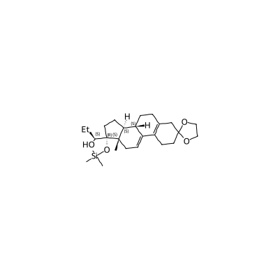 CC[C@H](O)[C@@]1(O[Si](C)(C)C)CC[C@H]2[C@@H]3CCC4=C(CCC5(C4)OCCO5)C3=CC[C@@]21C